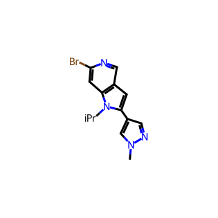 CC(C)n1c(-c2cnn(C)c2)cc2cnc(Br)cc21